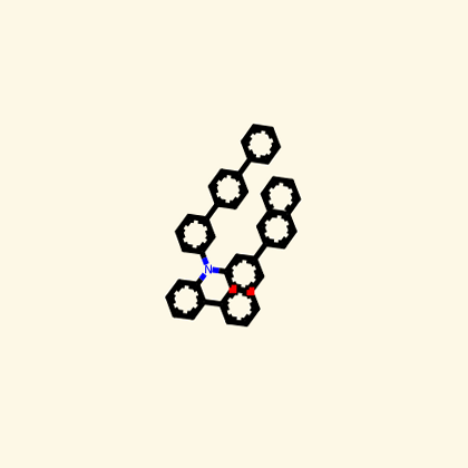 c1ccc(-c2ccc(-c3cccc(N(c4cccc(-c5ccc6ccccc6c5)c4)c4ccccc4-c4ccccc4)c3)cc2)cc1